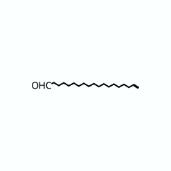 C=CCCCCCCCCCCCCCCCCC=O